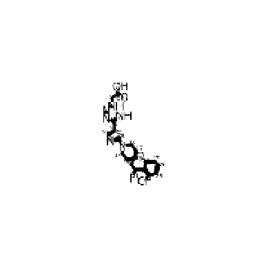 N=C(/N=N\NCC(=O)O)c1cnc(N2CCC3(CC2)CC(F)c2c(Cl)cccc2O3)s1